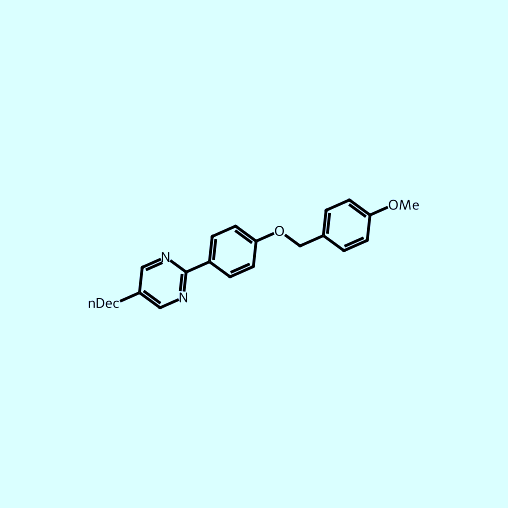 CCCCCCCCCCc1cnc(-c2ccc(OCc3ccc(OC)cc3)cc2)nc1